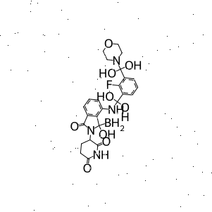 BC1(O)c2c(NC(O)(O)c3cccc(C(O)(O)N4CCOCC4)c3F)cccc2C(=O)N1C1CCC(=O)NC1=O